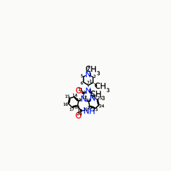 C[C@H]1CN(C)CC[C@H]1N(C)C(=O)N1c2ccccc2C(=O)Nc2cccnc21